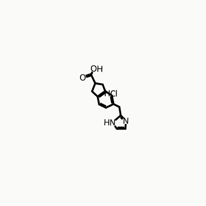 Cl.O=C(O)C1Cc2ccc(Cc3ncc[nH]3)cc2C1